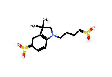 CC1(C)CN(CCCC=S(=O)=O)C2=C1CC(=S(=O)=O)C=C2